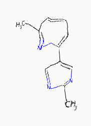 Cc1cccc(-c2cnc(C)nc2)n1